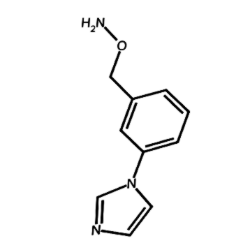 NOCc1cccc(-n2ccnc2)c1